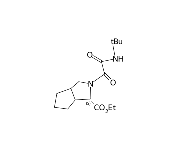 CCOC(=O)[C@@H]1C2CCCC2CN1C(=O)C(=O)NC(C)(C)C